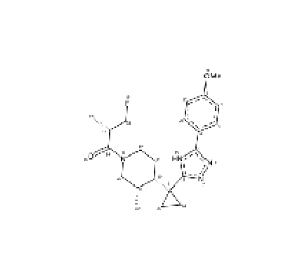 COc1ccc(-c2nnc(C3([C@H]4CCN(C(=O)[C@H](C)CF)C[C@H]4C)CC3)[nH]2)cc1